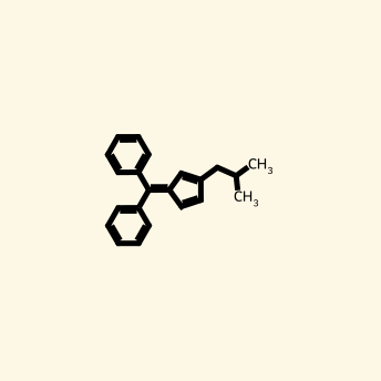 CC(C)CC1=CC(=C(c2ccccc2)c2ccccc2)[C]=C1